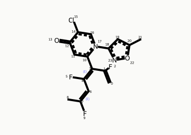 C=C(F)/C(=C(F)\C=C(/C)F)c1cc(=O)c(Cl)cn1-c1cc(C)on1